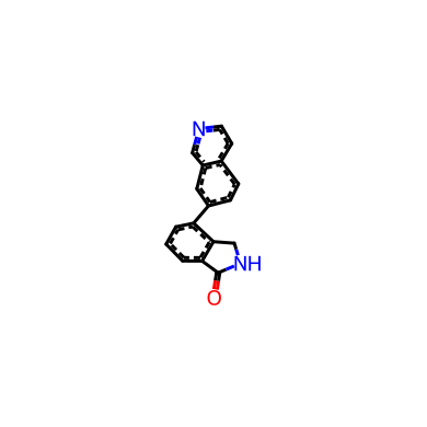 O=C1NCc2c1cccc2-c1ccc2ccncc2c1